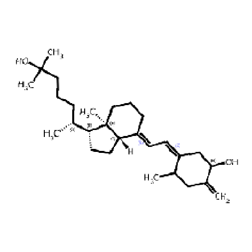 C=C1CC(C)/C(=C\C=C2/CCC[C@]3(C)[C@@H]([C@H](C)CCCC(C)(C)O)CC[C@@H]23)C[C@H]1O